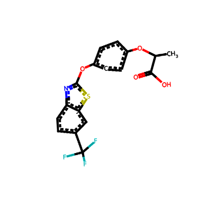 CC(Oc1ccc(Oc2nc3ccc(C(F)(F)F)cc3s2)cc1)C(=O)O